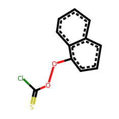 S=C(Cl)OOc1cccc2ccccc12